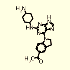 CC(=O)c1ccc2c(c1)CCN2c1nc(NC2CCC(N)CC2)nc2[nH]cnc12